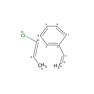 C=Cc1ccccc1.CC=CCl